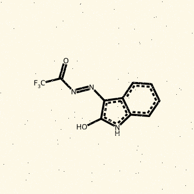 O=C(N=Nc1c(O)[nH]c2ccccc12)C(F)(F)F